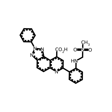 CS(=O)(=O)CNc1ccccc1-c1cc(C(=O)O)c2c(ccc3nn(-c4ccccc4)nc32)n1